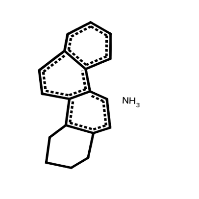 N.c1ccc2c(c1)ccc1c3c(ccc12)CCCC3